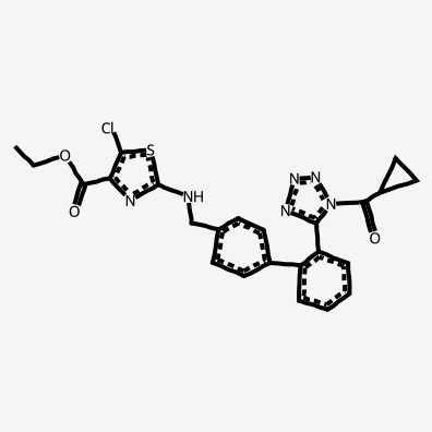 CCOC(=O)c1nc(NCc2ccc(-c3ccccc3-c3nnnn3C(=O)C3CC3)cc2)sc1Cl